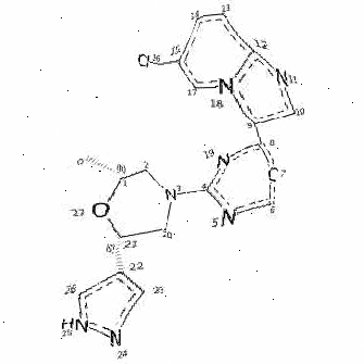 C[C@@H]1CN(c2nccc(-c3cnc4ccc(Cl)cn34)n2)C[C@H](c2cn[nH]c2)O1